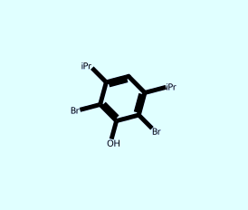 CC(C)c1cc(C(C)C)c(Br)c(O)c1Br